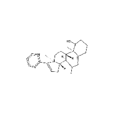 CC1C=C2CCCC(O)[C@]2(C)[C@H]2CC[C@]3(C)C(c4ncccn4)=CC[C@H]3[C@H]12